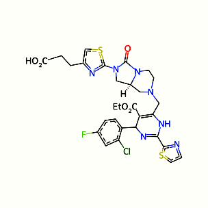 CCOC(=O)C1=C(CN2CCN3C(=O)N(c4nc(CCC(=O)O)cs4)C[C@@H]3C2)NC(c2nccs2)=NC1c1ccc(F)cc1Cl